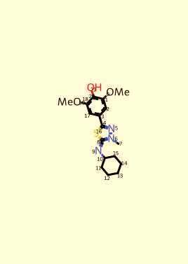 COc1cc(-c2nn(C)/c(=N\C3CCCCC3)s2)cc(OC)c1O